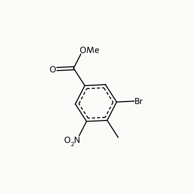 COC(=O)c1cc(Br)c(C)c([N+](=O)[O-])c1